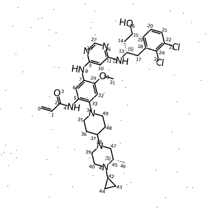 C=CC(=O)Nc1cc(Nc2cc(N[C@H](CCO)Cc3cccc(Cl)c3Cl)ncn2)c(OC)cc1N1CCC(N2CCN(C3CC3)[C@@H](C)C2)CC1